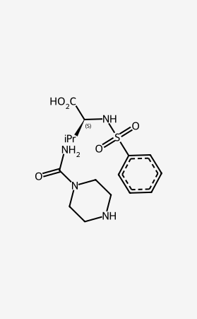 CC(C)[C@H](NS(=O)(=O)c1ccccc1)C(=O)O.NC(=O)N1CCNCC1